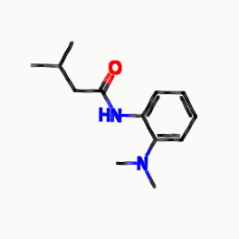 CC(C)CC(=O)Nc1ccccc1N(C)C